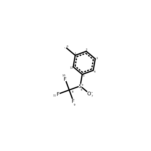 [CH2]c1cccc([S+]([O-])C(F)(F)F)c1